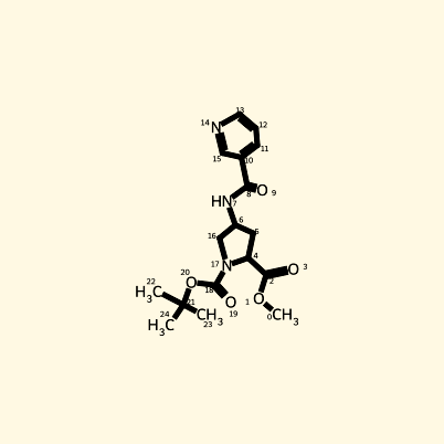 COC(=O)C1CC(NC(=O)c2cccnc2)CN1C(=O)OC(C)(C)C